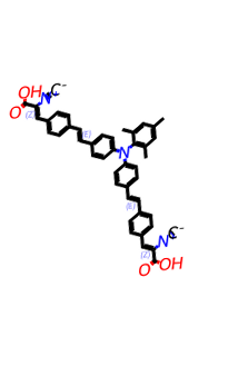 [C-]#[N+]/C(=C\c1ccc(/C=C/c2ccc(N(c3ccc(/C=C/c4ccc(/C=C(\[N+]#[C-])C(=O)O)cc4)cc3)c3c(C)cc(C)cc3C)cc2)cc1)C(=O)O